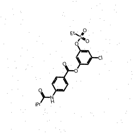 CCS(=O)(=O)Oc1cc(Cl)cc(OC(=O)c2ccc(NC(=O)C(C)C)cc2)c1